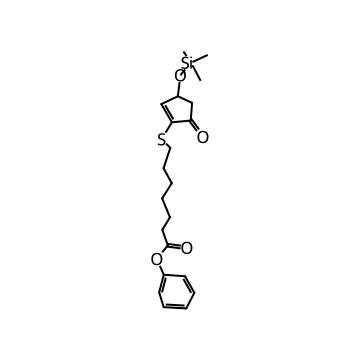 C[Si](C)(C)OC1C=C(SCCCCCCC(=O)Oc2ccccc2)C(=O)C1